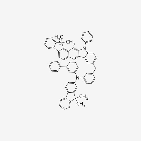 CC1(C)c2ccccc2-c2ccc(N(c3cccc(Cc4ccc5c(c4)c4cc6ccc7c(c6cc4n5-c4ccccc4)[Si](C)(C)c4ccccc4-7)c3)c3cccc(-c4ccccc4)c3)cc21